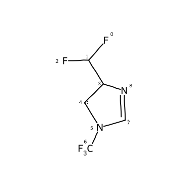 FC(F)C1[C]N(C(F)(F)F)[C]=N1